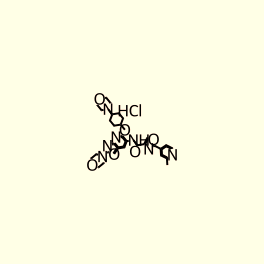 Cc1cc(-c2nc(C(=O)Nc3cc4oc(N5CCOCC5)nc4nc3OC3CCC(N4CCOCC4)CC3)co2)ccn1.Cl